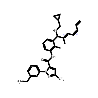 C=C/C=C\C=C(/C)C(NCC1CC1)c1cccc(NC(=O)c2cc(C(F)(F)F)nn2-c2cccc(CN)c2)c1F